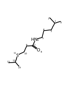 CC(C)CCCNC(=O)CCSC(C)C